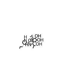 CCC[C@@H]1CCN[C@H](C(=O)N[C@H](C(C)C)[C@H]2O[C@H](SC)[C@H](O)[C@@H](O)[C@H]2O)C1